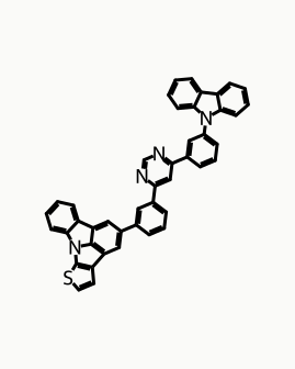 c1cc(-c2cc3c4ccccc4n4c5sccc5c(c2)c34)cc(-c2cc(-c3cccc(-n4c5ccccc5c5ccccc54)c3)ncn2)c1